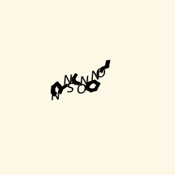 C=CCO/N=C1\CCCc2oc(-c3sc(-c4cccnc4)nc3C)nc21